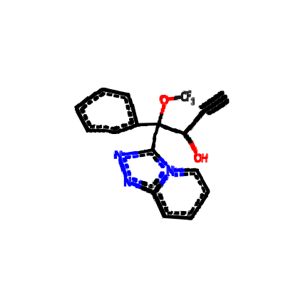 C#CC(O)C(OC(F)(F)F)(c1ccccc1)c1nnc2ccccn12